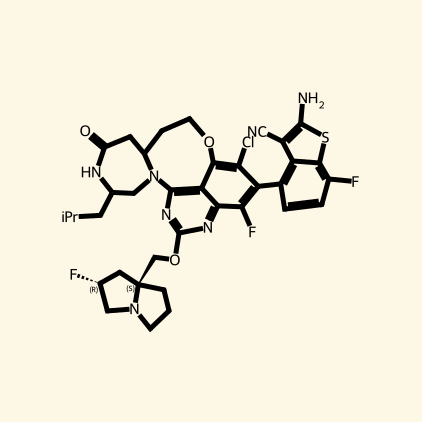 CC(C)CC1CN2c3nc(OC[C@@]45CCCN4C[C@H](F)C5)nc4c(F)c(-c5ccc(F)c6sc(N)c(C#N)c56)c(Cl)c(c34)OCCC2CC(=O)N1